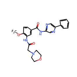 O=C(CN1CCOCC1)Nc1cc(C(=O)Nc2cnc(-c3ccccc3)cn2)ccc1OC(F)(F)F